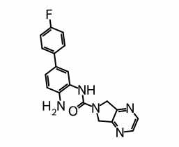 Nc1ccc(-c2ccc(F)cc2)cc1NC(=O)N1Cc2nccnc2C1